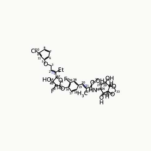 CC/C(=C\COc1cccc(Cl)c1)[C@H]1O[C@@H](Oc2ccc(/C=C(\C)C(=O)N[C@@H]3[C@H](O)[C@@H](O)[C@H]4OCO[C@H]4[C@@H]3O)cc2F)[C@@H](F)[C@@H]1O